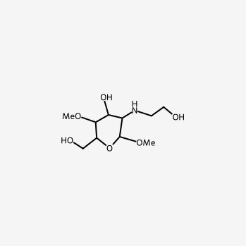 COC1OC(CO)C(OC)C(O)C1NCCO